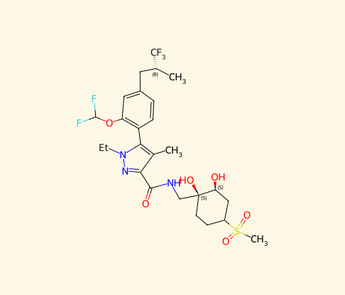 CCn1nc(C(=O)NC[C@@]2(O)CCC(S(C)(=O)=O)C[C@@H]2O)c(C)c1-c1ccc(C[C@@H](C)C(F)(F)F)cc1OC(F)F